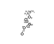 CN(C)CC(N)c1cc(F)cc(-c2ccnc3[nH]c(-c4n[nH]c5ncc(-c6cncc(OCc7ccccc7)c6)cc45)cc23)c1